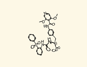 COc1cncc(OC)c1C(=O)Nc1ccc(C[C@H](NC(=O)Nc2ccccc2S(=O)(=O)c2ccccc2)C(=O)O)cc1